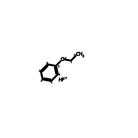 CCOc1ccccc1.F